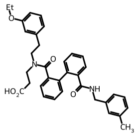 CCOc1cccc(CCN(CCC(=O)O)C(=O)c2ccccc2-c2ccccc2C(=O)NCc2cccc(C)c2)c1